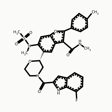 CNC(=O)c1c(-c2ccc(C)cc2)oc2cc(N(C)S(C)(=O)=O)c([C@@H]3CN(C(=O)c4cc5cccc(F)c5[nH]4)CCO3)cc12